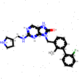 Cc1c(Cn2c(=O)[nH]c3cnc(NC[C@@H]4CCNC4)nc32)cccc1-c1ccccc1F